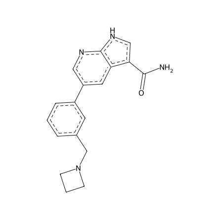 NC(=O)c1c[nH]c2ncc(-c3cccc(CN4CCC4)c3)cc12